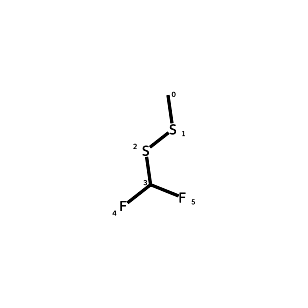 CSSC(F)F